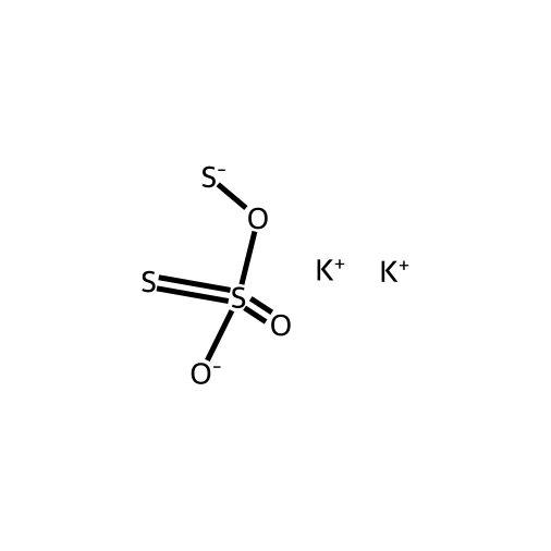 O=S([O-])(=S)O[S-].[K+].[K+]